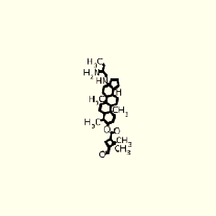 CCC(N)CNC12CCC[C@@H]1C1CCC3C4(C)CCC(OC(=O)C5CC(C=O)C5(C)C)C(C)C4CCC3(C)C1CC2